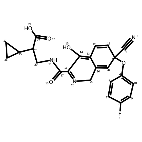 N#CC1(Oc2ccc(F)cc2)C=CC2=C(O)C(C(=O)NCC(C(=O)O)C3CC3)=NCC2=C1